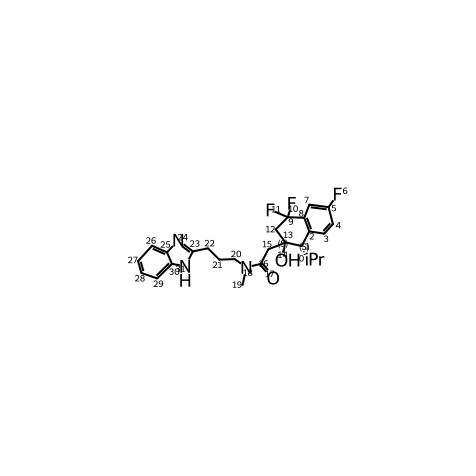 CC(C)[C@H]1c2ccc(F)cc2C(F)(F)C[C@@]1(O)CC(=O)N(C)CCCc1nc2ccccc2[nH]1